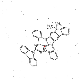 CC1(C)c2ccccc2-c2cc3c4ccccc4n(-c4ccccc4-c4nc(-c5ccccc5)nc(-n5c6ccccc6c6ccccc65)n4)c3cc21